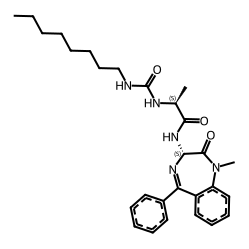 CCCCCCCCNC(=O)N[C@@H](C)C(=O)N[C@H]1N=C(c2ccccc2)c2ccccc2N(C)C1=O